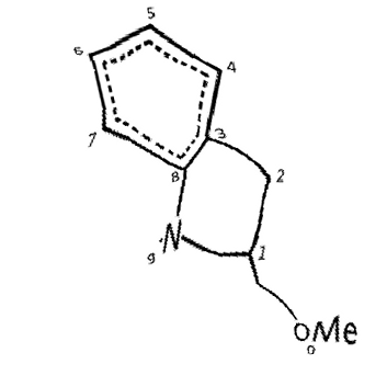 COC1Cc2ccccc2[N]1